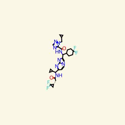 O=C(C[C@@H]1CC1(F)F)NC(c1ccn2cc(C(NC(=O)c3ncnn3CC3CC3)C3CCC(F)(F)CC3)nc2n1)C1CC1